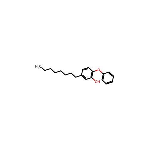 CCCCCCCCc1ccc(Oc2ccccc2)c(O)c1